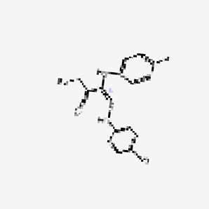 CC(C)(C)CC(=O)/C(=N\Nc1ccc(Cl)cc1)Nc1ccc(F)cc1